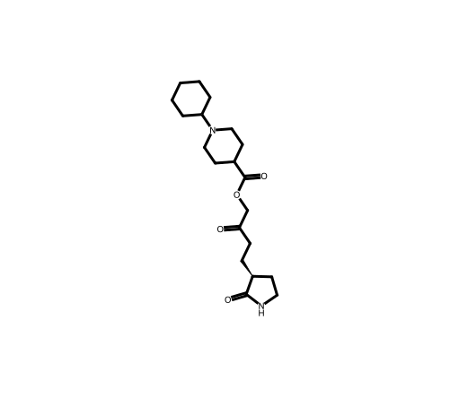 O=C(CC[C@H]1CCNC1=O)COC(=O)C1CCN(C2CCCCC2)CC1